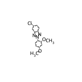 COc1ccc(-n2nc3ccc(Cl)cc3n2)c(OC)c1